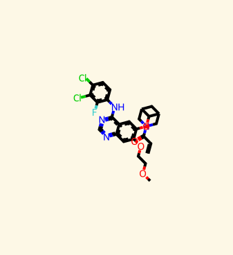 C=CC(=O)N1CC2CC(C1)C2Oc1cc2c(Nc3ccc(Cl)c(Cl)c3F)ncnc2cc1OCCOC